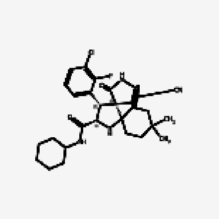 CC1(C)CCC2(CC1)N[C@@H](C(=O)NC1CCCCC1)[C@H](c1cccc(Cl)c1F)[C@]21C(=O)Nc2cc(C#N)ccc21